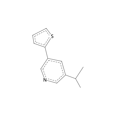 CC(C)c1cncc(-c2cccs2)c1